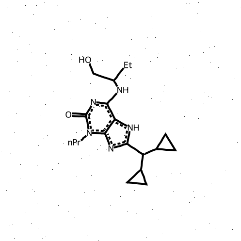 CCCn1c(=O)nc(NC(CC)CO)c2[nH]c(C(C3CC3)C3CC3)nc21